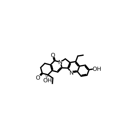 CCc1c2c(nc3ccc(O)cc13)-c1cc3c(c(=O)n1C2)CCC(=O)[C@]3(O)CC